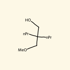 CCCC(CO)(CCC)COC